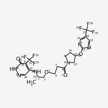 C[C@@H](COCCC(=O)N1CCC(Oc2ncc(C(F)(F)F)cn2)C1)Nc1cn[nH]c(=O)c1C(F)(F)F